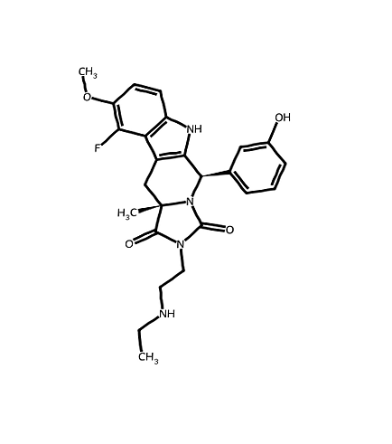 CCNCCN1C(=O)N2[C@H](c3cccc(O)c3)c3[nH]c4ccc(OC)c(F)c4c3C[C@@]2(C)C1=O